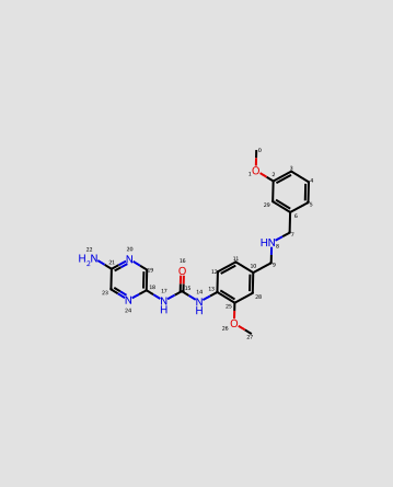 COc1cccc(CNCc2ccc(NC(=O)Nc3cnc(N)cn3)c(OC)c2)c1